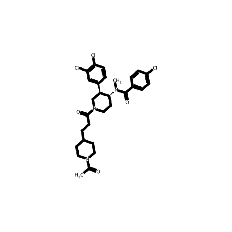 CC(=O)N1CCC(CCC(=O)N2CC[C@@H](N(C)C(=O)c3ccc(Cl)cc3)[C@H](c3ccc(Cl)c(Cl)c3)C2)CC1